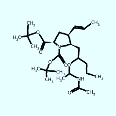 CC=C[C@@H]1C[C@H](C(=O)OC(C)(C)C)N(C(=O)OC(C)(C)C)[C@@H]1CC(CCC)OC(C)NC(C)=O